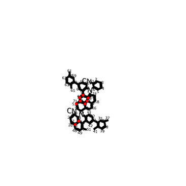 [C-]#[N+]c1ccccc1N(C1=C2C=CC3=C4C(=CC=C(C=C1)C24)C(N(c1ccccc1C#N)c1ccc(-c2cc(C)ccc2C)cc1-c1cc(C)ccc1C)C=C3)c1ccc(-c2cc(C)ccc2C)cc1-c1cc(C)ccc1C